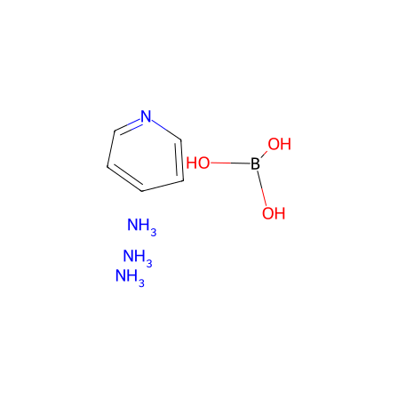 N.N.N.OB(O)O.c1ccncc1